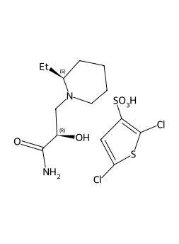 CC[C@H]1CCCCN1C[C@@H](O)C(N)=O.O=S(=O)(O)c1cc(Cl)sc1Cl